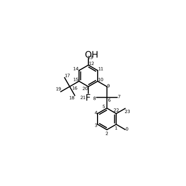 Cc1cccc(C(C)(C)Cc2cc(O)cc(C(C)(C)C)c2F)c1C